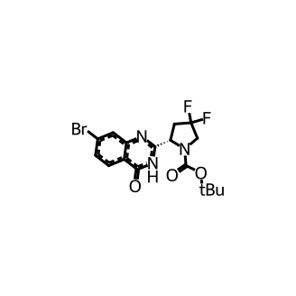 CC(C)(C)OC(=O)N1CC(F)(F)C[C@H]1c1nc2cc(Br)ccc2c(=O)[nH]1